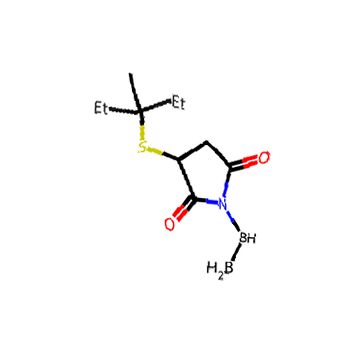 BBN1C(=O)CC(SC(C)(CC)CC)C1=O